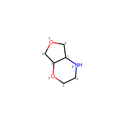 C1COC2COCC2N1